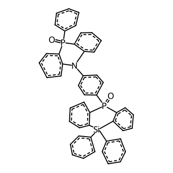 O=P1(c2ccccc2)c2ccccc2N(c2ccc(P3(=O)c4ccccc4[Si](c4ccccc4)(c4ccccc4)c4ccccc43)cc2)c2ccccc21